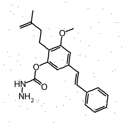 C=C(C)CCc1c(OC)cc(C=Cc2ccccc2)cc1OC(=O)NN